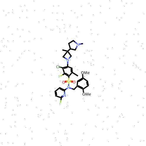 COc1ccc(OC)c(CN(c2cccc(F)n2)S(=O)(=O)c2c(C)cc(N3CC(C)(C4CCN(C)C4)C3)c(Cl)c2F)c1